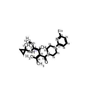 C=N/C(NC1(C)CC1)=C(\C)C(C(=O)N1CCN(c2cccc(F)n2)CC1)=C(C)C